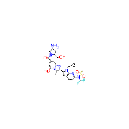 COc1cc(C(=O)N2C[C@H](N)C[C@@H]2CO)cc2nc(-c3cc4ccc(N(C(F)F)S(C)(=O)=O)nc4n3CC3CC3)c(C)n12